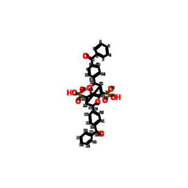 O=C(c1ccccc1)c1ccc(C2Oc3c4c(S(=O)(=O)O)c2c(c3S(=O)(=O)O)C(c2ccc(C(=O)c3ccccc3)cc2)O4)cc1